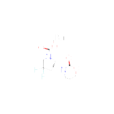 CC(C)(C)OC(=O)N1C[C@H](N2CCCOC2=O)CC(F)(F)C1